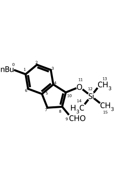 CCCCc1ccc2c(c1)CC(C=O)=C2O[Si](C)(C)C